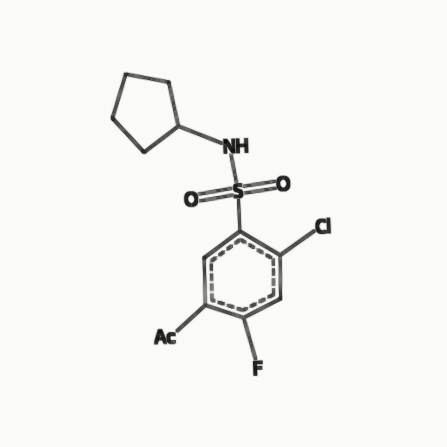 CC(=O)c1cc(S(=O)(=O)NC2CCCC2)c(Cl)cc1F